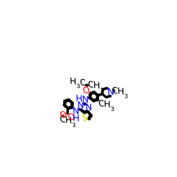 COC(=O)c1ccccc1Nc1nc(Nc2cc(C)c(C3CCN(C)CC3)cc2OC(C)C)nc2ccsc12